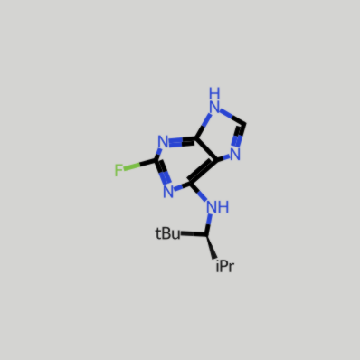 CC(C)[C@H](Nc1nc(F)nc2[nH]cnc12)C(C)(C)C